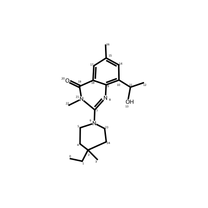 CCC1(C)CCN(c2nc3c(C(C)O)cc(C)cc3c(=O)n2C)CC1